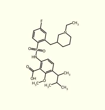 CCN1CCCC(Cc2cc(F)ccc2S(=O)(=O)Nc2ccc(C(C)C(C)C)c(OC)c2C(=O)O)C1